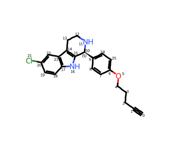 C#CCCCOc1ccc([C@@H]2NCCc3c2[nH]c2ccc(Cl)cc32)cc1